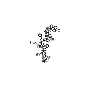 CC[C@@H](C(=O)N[C@@H](CC(C)C)C(=O)N(C)[C@@H](CC(C)C)C(=O)N(C)[C@@H](Cc1ccccc1)C(=O)N[C@@H](CCCCO)C(=O)N(C)[C@@H](CCc1ccccc1)C(=O)N(C)[C@@H](CC(C)C)C(=O)N[C@H](C(=O)N(C)CC(=O)N(C)[C@@H](CC(C)C)C(=O)N[C@@H](CC=O)C(=O)N1CCCCC1)[C@@H](C)O)N(C)C